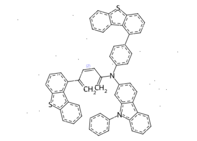 C=C(/C=C\C(=C)N(c1ccc(-c2cccc3sc4ccccc4c23)cc1)c1ccc2c3ccccc3n(-c3ccccc3)c2c1)c1cccc2sc3ccccc3c12